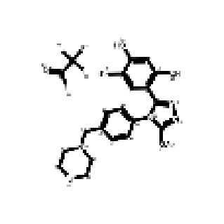 CSc1nnc(-c2cc(C(C)C)c(O)cc2O)n1-c1ccc(CN2CCOCC2)cc1.O=C(O)C(F)(F)F